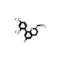 NC[C@H]1CCc2cc(F)cc(-c3ccc(C(F)(F)F)cc3C(F)(F)F)c2O1